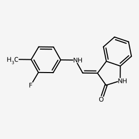 Cc1ccc(N/C=C2/C(=O)Nc3ccccc32)cc1F